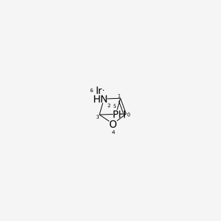 C1=C2NC(O1)P2.[Ir]